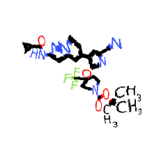 CC(C)(C)OC(=O)N1CCC(Oc2cnc(C#N)cc2-c2ccn3nc(NC(=O)C4CC4)cc3c2)(C(F)(F)F)CC1